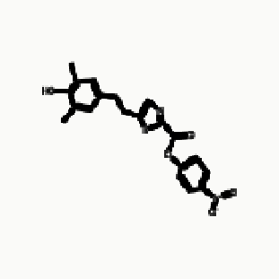 Cc1cc(CCc2cnc(C(=O)Oc3ccc([N+](=O)[O-])cc3)s2)cc(C)c1O